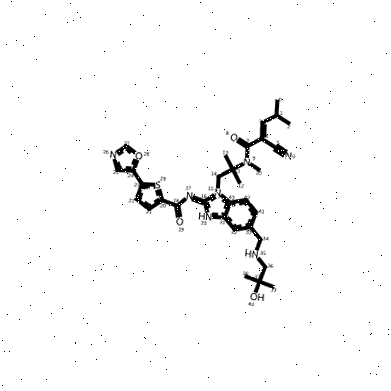 CC(C)/C=C(\C#N)C(=O)N(C)C(C)(C)Cn1/c(=N/C(=O)c2ccc(-c3cnco3)s2)[nH]c2cc(CNCC(C)(C)O)ccc21